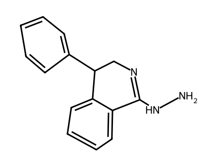 NNC1=NCC(c2ccccc2)c2ccccc21